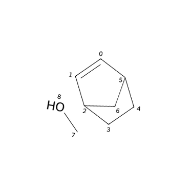 C1=CC2CCC1C2.CO